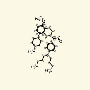 CCCCN(CCCC)c1ccc([C@@H](C=O)N2CCc3c(OC)ccc(N4CCN(C)CC4)c3C2)cc1